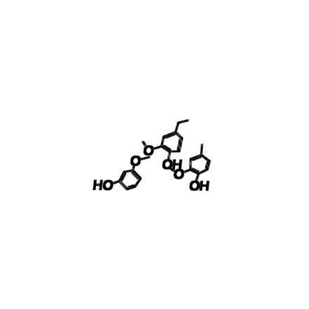 CCc1ccc(O)c(OC)c1.COc1cc(C)ccc1O.COc1cccc(O)c1